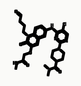 CNC(=O)COc1cc2cc(Nc3nc(N4CCC(C(=O)N(C)C)CC4)ncc3Cl)ccc2n(CCCC=O)c1=O